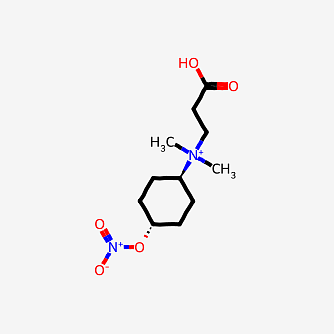 C[N+](C)(CCC(=O)O)[C@H]1CC[C@H](O[N+](=O)[O-])CC1